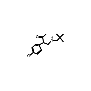 CC(=O)C(CNCC(C)(C)C)c1ccc(Cl)cc1